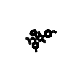 COc1ccc(N2C(=O)S[C@](c3ccccc3)(C(C[N+](=O)[O-])c3ccc(C)cc3)C2=O)cc1